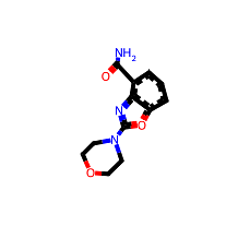 NC(=O)c1[c]ccc2oc(N3CCOCC3)nc12